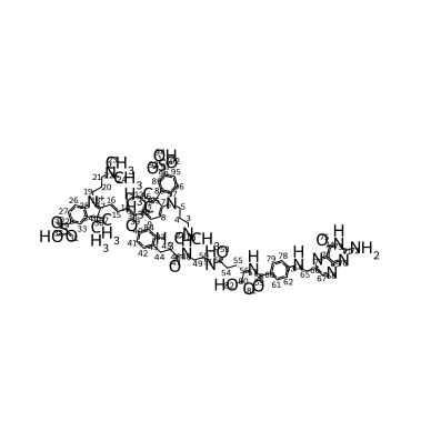 CN(C)CCCN1/C(=C/C=C2\CCCC(/C=C/C3=[N+](CCCN(C)C)c4ccc(S(=O)(=O)O)cc4C3(C)C)=C2Oc2ccc(CCC(=O)NCCNC(=O)CC[C@H](NC(=O)c3ccc(NCc4cnc5nc(N)[nH]c(=O)c5n4)cc3)C(=O)O)cc2)C(C)(C)c2cc(S(=O)(=O)O)ccc21